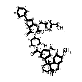 CCOc1cc2c(cc1OC)C=N[C@@H]1CCSC(c3cccc(C(=O)N4CCC(n5c(=O)c6sc(-c7ccccc7)cc6n(Cc6nc(CC)no6)c5=O)CC4)c3)[C@H]21